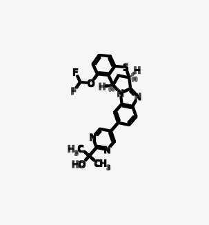 CC(C)(O)c1ncc(-c2ccc3nc4n(c3c2)[C@H]2C[C@H]4Sc3cccc(OC(F)F)c32)cn1